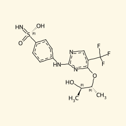 C[C@@H](O)[C@@H](C)Oc1nc(Nc2ccc([S@](=N)(=O)O)cc2)ncc1C(F)(F)F